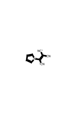 N#CC(C#N)=C(C#N)n1cccc1